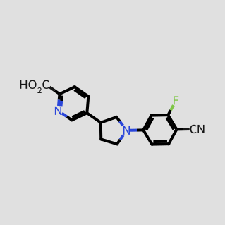 N#Cc1ccc(N2CCC(c3ccc(C(=O)O)nc3)C2)cc1F